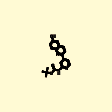 CC(C)(C)OC(=O)Nc1cc(-c2ccc3cc(O)ccc3n2)ccn1